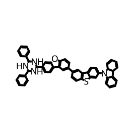 C1=CC2c3ccccc3N(c3ccc4c(c3)sc3ccc(-c5ccc6oc7cc(C8NC(c9ccccc9)NC(c9ccccc9)N8)ccc7c6c5)cc34)C2C=C1